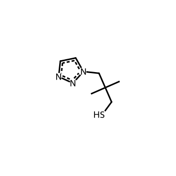 CC(C)(CS)Cn1ccnn1